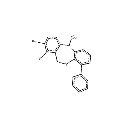 CC(C)(C)C1c2ccc(F)c(F)c2CSc2c(-c3ccccc3)cccc21